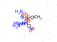 Cc1ccc(S(=O)(=O)N(C(=O)[C@@H]2CCCN2C(=O)CN)[C@@H](CCCNC(=N)N)C(=O)Nc2ccc([N+](=O)[O-])cc2)cc1